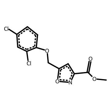 COC(=O)c1cc(COc2ccc(Cl)cc2Cl)on1